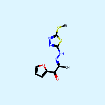 CCSc1nnc(N/N=C(\C#N)C(=O)c2ccco2)s1